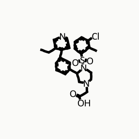 CCc1cnccc1-c1cccc(C2CN(CC(=O)O)CCN2S(=O)(=O)c2cccc(Cl)c2C)c1